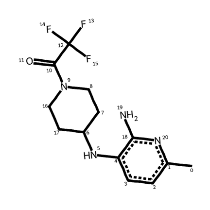 Cc1ccc(NC2CCN(C(=O)C(F)(F)F)CC2)c(N)n1